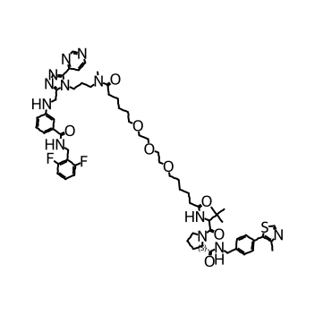 Cc1ncsc1-c1ccc(CNC(=O)[C@@H]2CCCN2C(=O)C(NC(=O)CCCCCOCCOCCOCCCCCC(=O)N(C)CCCn2c(CNc3cccc(C(=O)NCc4c(F)cccc4F)c3)nnc2-c2ccncn2)C(C)(C)C)cc1